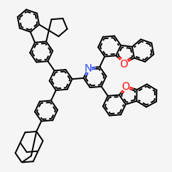 c1ccc2c(c1)-c1ccc(-c3cc(-c4ccc(C56CC7CC(CC(C7)C5)C6)cc4)cc(-c4cc(-c5cccc6c5oc5ccccc56)cc(-c5cccc6c5oc5ccccc56)n4)c3)cc1C21CCCC1